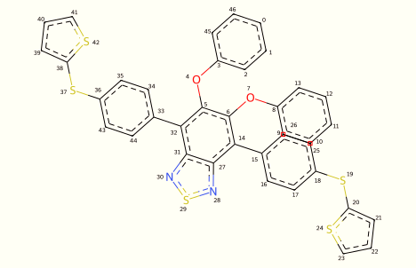 c1ccc(Oc2c(Oc3ccccc3)c(-c3ccc(Sc4cccs4)cc3)c3nsnc3c2-c2ccc(Sc3cccs3)cc2)cc1